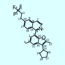 Cc1cc(-c2nccc3cc(CCC(F)(F)F)ccc23)c2oc(C)c(C3CCCC3)c2c1